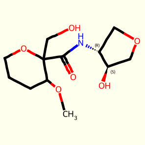 COC1CCCOC1(CO)C(=O)N[C@@H]1COC[C@H]1O